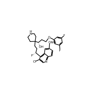 COc1ccc2ncc(Cl)c([C@H](F)CCC3([C@@H](O)CCOc4cc(F)cc(F)c4)CCNCC3)c2c1